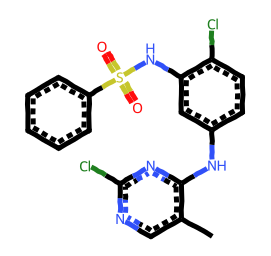 Cc1cnc(Cl)nc1Nc1ccc(Cl)c(NS(=O)(=O)c2ccccc2)c1